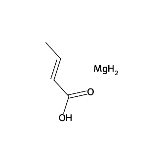 C/C=C/C(=O)O.[MgH2]